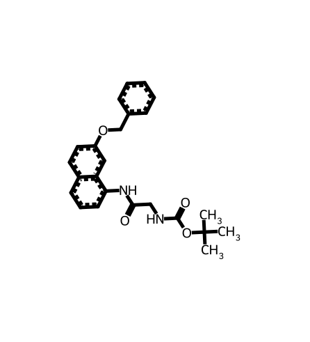 CC(C)(C)OC(=O)NCC(=O)Nc1cccc2ccc(OCc3ccccc3)cc12